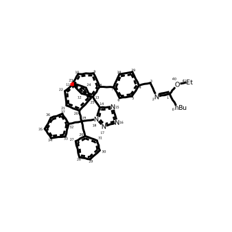 CCCCC(=NCc1ccc(-c2ccccc2-c2nnnn2C(c2ccccc2)(c2ccccc2)c2ccccc2)cc1)OCC